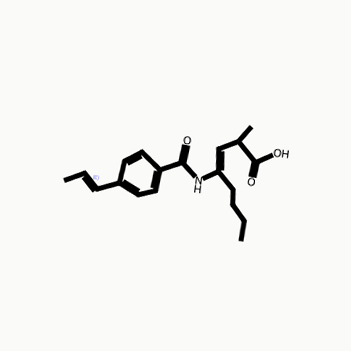 C/C=C/c1ccc(C(=O)NC(=CC(C)C(=O)O)CCCC)cc1